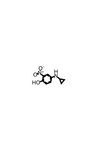 O=[N+]([O-])c1cc(NC2CC2)ccc1O